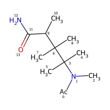 CC(=O)N(C)C(C)(C)C(C)(C)C(C)C(N)=O